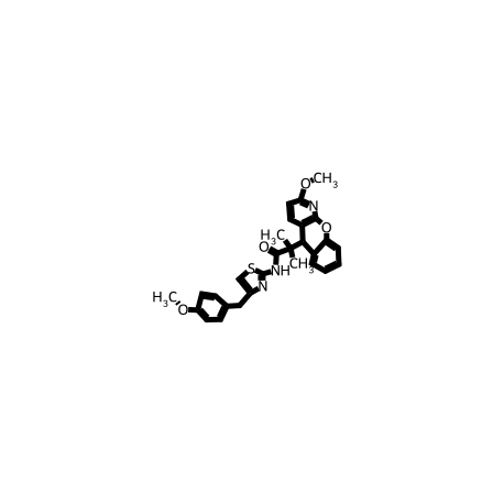 COc1ccc(Cc2csc(NC(=O)C(C)(C)C3c4ccccc4Oc4nc(OC)ccc43)n2)cc1